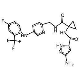 Nc1cc(C(=O)NC2(C(=O)NCc3ccc(Nc4ccc(F)cc4C(F)(F)F)cn3)CC2)[nH]n1